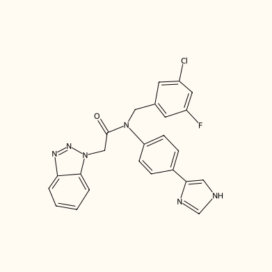 O=C(Cn1nnc2ccccc21)N(Cc1cc(F)cc(Cl)c1)c1ccc(-c2c[nH]cn2)cc1